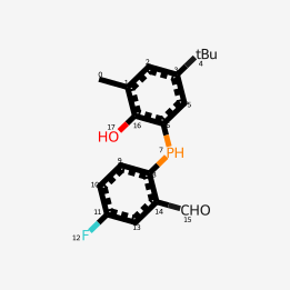 Cc1cc(C(C)(C)C)cc(Pc2ccc(F)cc2C=O)c1O